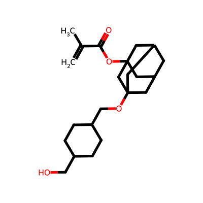 C=C(C)C(=O)OC12CC3CC(CC(OCC4CCC(CO)CC4)(C3)C1)C2